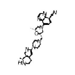 C[C@@H]1CN(c2ccc(C#N)c3nccnc23)C[C@H](CN2CCN(c3cc4c(cn3)[C@H](C)NCC4)CC2)O1